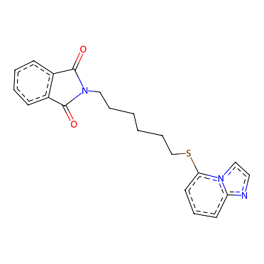 O=C1c2ccccc2C(=O)N1CCCCCCSc1cccc2nccn12